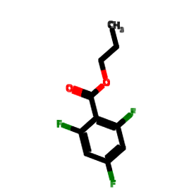 CCCOC(=O)c1c(F)cc(F)cc1F